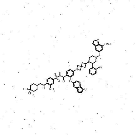 COc1cc(CN2CCN(C3CC4(C3)CN(c3ccc(C(=O)NS(=O)(=O)c5ccc(NCC6CCC(C)(O)CC6)c([N+](=O)[O-])c5)c(Oc5cnc6[nH]ccc6c5)c3)C4)C(c3ccccc3C(C)C)C2)cc2ccoc12